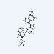 C[C@H](NC(=O)c1cn(C2CC(F)(F)C2)c(=O)c2cn[nH]c12)c1cc(-c2ccccc2CN(C)C(=O)OC(C)(C)C)cs1